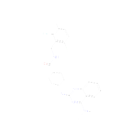 Cc1ccc(Cl)c(CNC(=O)[C@H]2CC[C@@H](Nc3nc(N(C)C)c4ccccc4n3)CC2)c1F